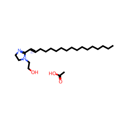 CC(=O)O.CCCCCCCCCCCCCCC/C=C/C1=NCCN1CCO